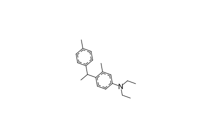 CCN(CC)c1ccc(C(C)c2ccc(C)cc2)c(C)c1